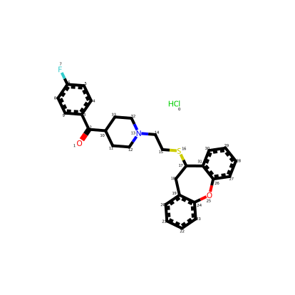 Cl.O=C(c1ccc(F)cc1)C1CCN(CCSC2Cc3ccccc3Oc3ccccc32)CC1